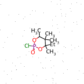 CCC1(C)OP(=O)(Cl)OC(C)C1(C)C